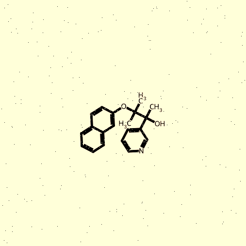 CC(C)(Oc1ccc2ccccc2c1)C(C)(O)c1cccnc1